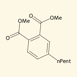 CCCCCc1ccc(C(=O)OC)c(C(=O)OC)c1